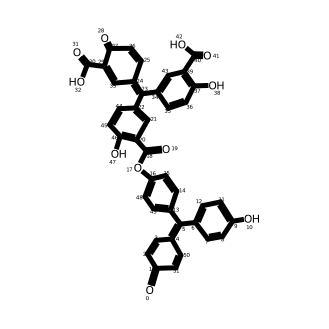 O=C1C=CC(=C(c2ccc(O)cc2)c2ccc(OC(=O)c3cc(C(=C4C=CC(=O)C(C(=O)O)=C4)c4ccc(O)c(C(=O)O)c4)ccc3O)cc2)C=C1